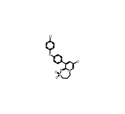 O=S1(=O)CCCN2C=C(Cl)C=C(c3ccc(Oc4ccc(Cl)cc4)cc3)C2=N1